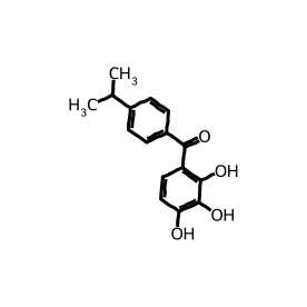 CC(C)c1ccc(C(=O)c2ccc(O)c(O)c2O)cc1